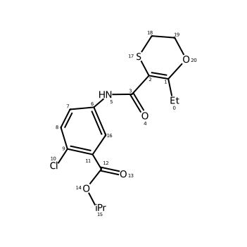 CCC1=C(C(=O)Nc2ccc(Cl)c(C(=O)OC(C)C)c2)SCCO1